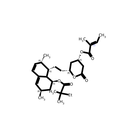 C/C=C(\C)C(=O)O[C@@H]1CC(=O)O[C@H](CC[C@@H]2C3C(=C[C@H](C)C[C@@H]3OC(=O)C(C)(C)CC)C=C[C@@H]2C)C1